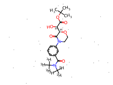 [2H]C([2H])([2H])N(C(=O)c1cccc(N2CCO[C@H]([C@@H](O)C(=O)OC(C)(C)C)C2=O)c1)C([2H])([2H])[2H]